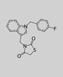 O=C1CSC(=O)N1Cc1cn(Cc2ccc(F)cc2)c2ccccc12